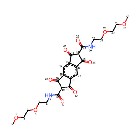 COCCOCCNC(=O)C1C(=O)c2cc3c(cc2C1=O)C(=O)C(C(=O)NCCOCCOC)C3=O